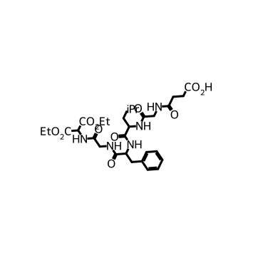 CCOC(=O)C(NC(=O)CNC(=O)C(Cc1ccccc1)NC(=O)C(CC(C)C)NC(=O)CNC(=O)CCC(=O)O)C(=O)OCC